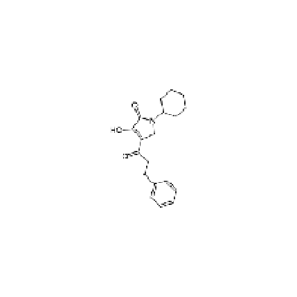 O=C(CCc1ccccc1)C1=C(O)C(=O)N(C2CCCCC2)C1